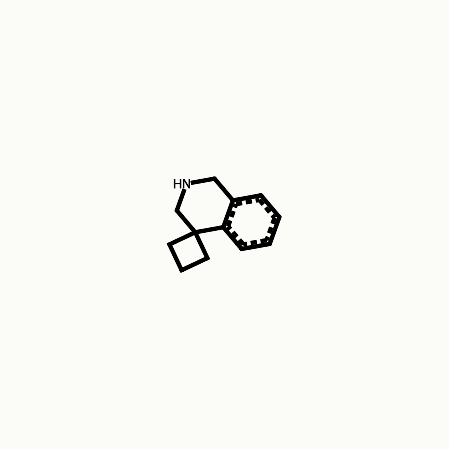 c1ccc2c(c1)CNCC21CCC1